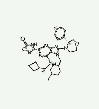 CC1CCC(Cn2c(N3CCOC[C@H]3c3ccncc3)nc3nc(-c4noc(=O)[nH]4)nc(N[C@H](C)C4CCC4)c32)CC1